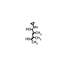 C/C(S)=C(C)/C=C(\C)C(O)NC1CC1